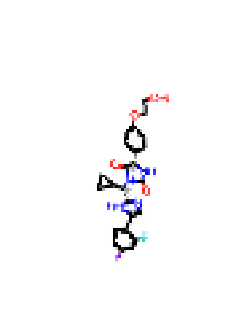 O=C1N[C@H](c2ccc(OCCO)cc2)C(=O)N1[C@H](c1ncc(-c2ccc(I)cc2F)[nH]1)C1CC1